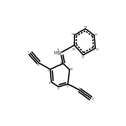 [C]#CC1=CC=C(C#[C])C(=[SiH]c2ccccc2)C1